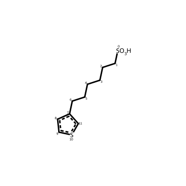 O=S(=O)(O)CCCCCCc1ccsc1